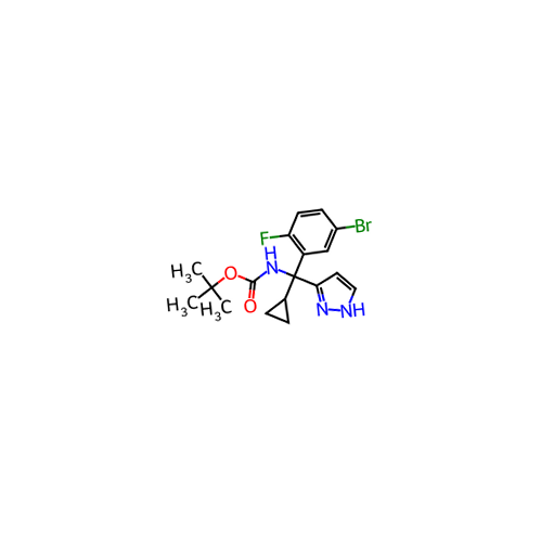 CC(C)(C)OC(=O)NC(c1cc[nH]n1)(c1cc(Br)ccc1F)C1CC1